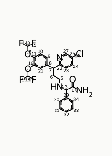 NC(=O)C(NCCC(c1ccc(OC(F)F)c(OC(F)F)c1)c1ccc(Cl)cn1)c1ccccc1